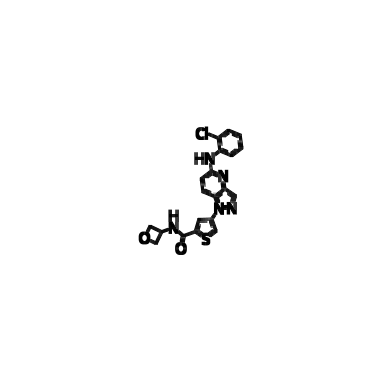 O=C(NC1COC1)c1cc(-n2ncc3nc(Nc4ccccc4Cl)ccc32)cs1